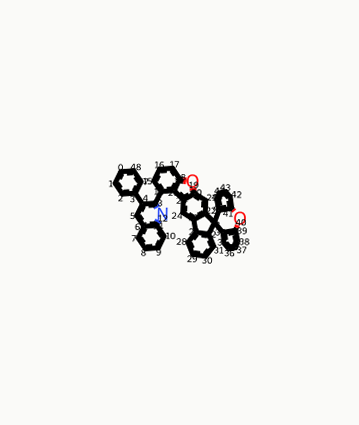 c1ccc(-c2cc3ccccc3nc2-c2cccc3oc4cc5c(cc4c23)-c2ccccc2C52c3ccccc3Oc3ccccc32)cc1